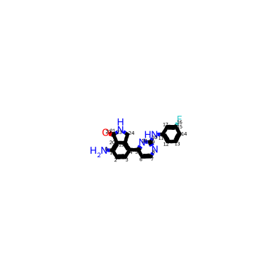 Nc1ccc(-c2ccnc(Nc3cccc(F)c3)n2)c2c1C(=O)NC2